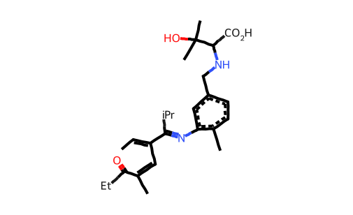 C/C=C(\C=C(\C)C(=O)CC)C(=N/c1cc(CNC(C(=O)O)C(C)(C)O)ccc1C)/C(C)C